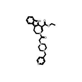 CCOC(=O)C1=CN(C(=O)CN2CCN(Cc3ccncc3)CC2)CCc2c1[nH]c1ccccc21